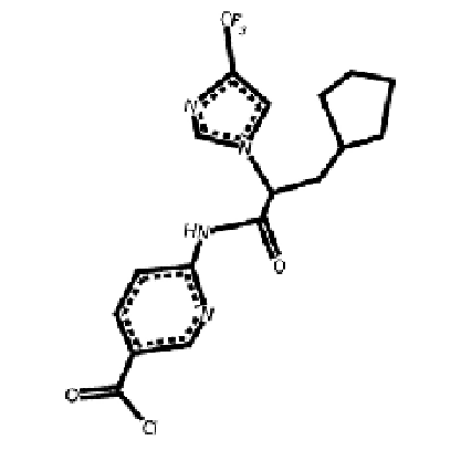 O=C(Cl)c1ccc(NC(=O)C(CC2CCCC2)n2cnc(C(F)(F)F)c2)nc1